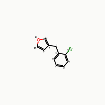 Brc1ccccc1Cc1ccoc1